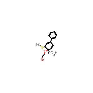 CC(C)SC1C=C(c2ccccc2)C=CC1(OCCBr)C(=O)O